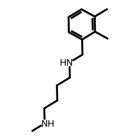 CNCCCCNCc1cccc(C)c1C